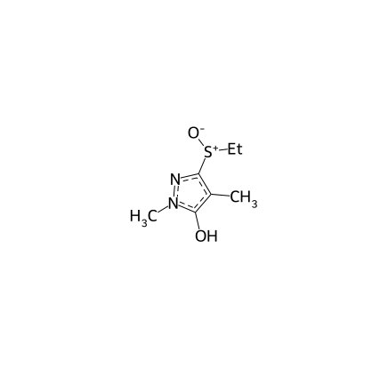 CC[S+]([O-])c1nn(C)c(O)c1C